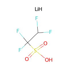 O=S(=O)(O)C(F)(F)C(F)F.[LiH]